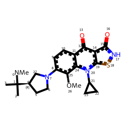 CNC(C)(C)[C@@H]1CCN(c2ccc3c(=O)c4c(=O)[nH]sc4n(C4CC4)c3c2OC)C1